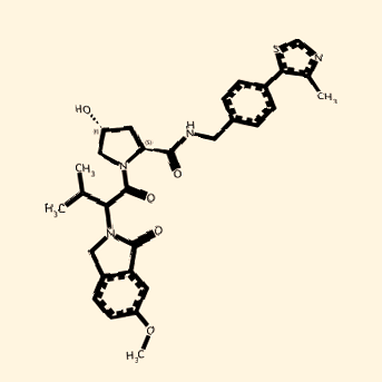 COc1ccc2c(c1)C(=O)N(C(C(=O)N1C[C@H](O)C[C@H]1C(=O)NCc1ccc(-c3scnc3C)cc1)C(C)C)C2